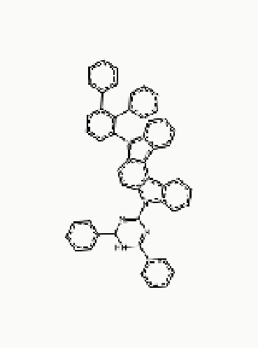 c1ccc(C2=NC(n3c4ccccc4c4c5c6ccccc6n(-c6cccc(-c7ccccc7)c6-c6ccccc6)c5ccc43)=NC(c3ccccc3)N2)cc1